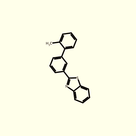 Cc1ccccc1-c1cccc(-c2nc3ccccc3s2)c1